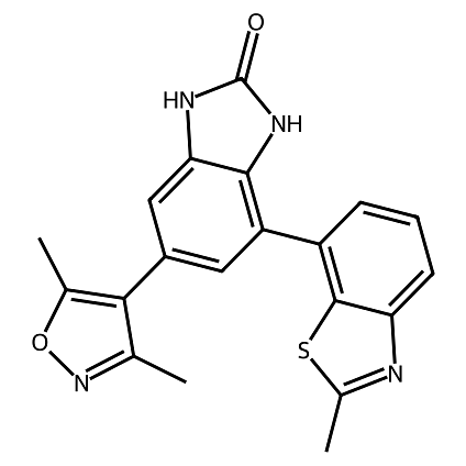 Cc1nc2cccc(-c3cc(-c4c(C)noc4C)cc4[nH]c(=O)[nH]c34)c2s1